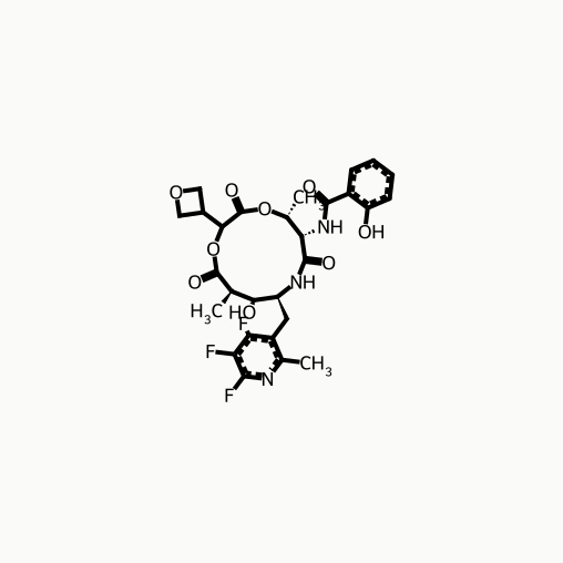 Cc1nc(F)c(F)c(F)c1C[C@@H]1NC(=O)[C@@H](NC(=O)c2ccccc2O)[C@@H](C)OC(=O)C(C2COC2)OC(=O)[C@H](C)[C@@H]1O